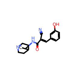 N#CC(=Cc1cccc(O)c1)C(=O)NC1CN2CCC1CC2